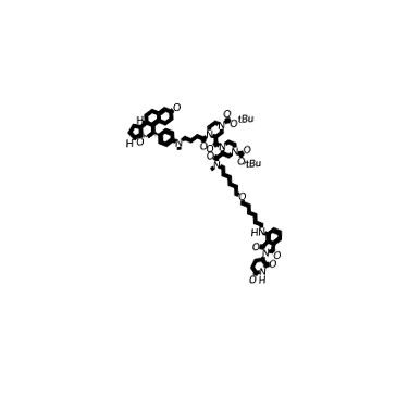 CN(CCCCCCOCCCCCCNc1cccc2c1C(=O)N(C1CCC(=O)NC1=O)C2=O)C(=O)C1CN(C(=O)OC(C)(C)C)CCN1C(=O)C1CN(C(=O)OC(C)(C)C)CCN1C(=O)CCCN(C)c1ccc([C@H]2C[C@]34O[C@H]3CCC4[C@@H]3CCC4=CC(=O)CCC4=C32)cc1